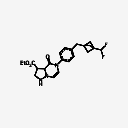 CCOC(=O)C1CNN2C=CN(c3ccc(CC45CC(C(F)F)(C4)C5)cc3)C(=O)C12